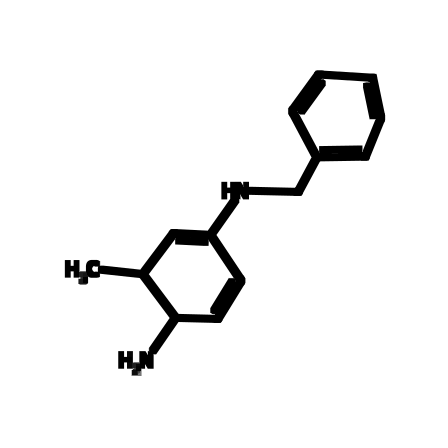 CC1C=C(NCc2ccccc2)C=CC1N